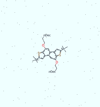 CCCCCCCCCCCCOc1cc2c3c[c]([Sn]([CH3])([CH3])[CH3])sc3c(OCCCCCCCCCCCC)cc2c2c[c]([Sn]([CH3])([CH3])[CH3])sc12